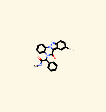 Cc1ccc2nn3c4ccccc4n(C(C(=O)NC(C)(C)C)c4ccccc4)c(=O)c3c2c1